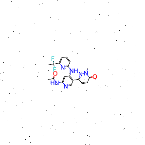 CC(=O)Nc1cc(Nc2cccc(C(C)(F)F)n2)c(-c2ccc(=O)n(C)n2)cn1